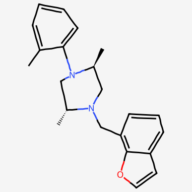 Cc1ccccc1N1C[C@@H](C)N(Cc2cccc3ccoc23)C[C@@H]1C